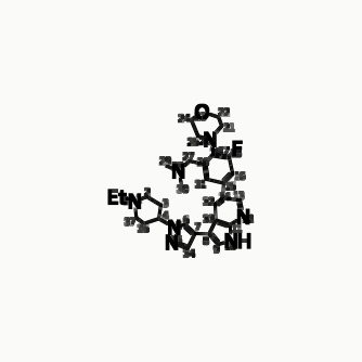 CCN1CCC(n2cc(-c3c[nH]c4ncc(-c5cc(F)c(N6CCOCC6)c(CN(C)C)c5)cc34)cn2)CC1